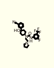 N#Cc1cccc([C@]2(O)CC[C@H](N(CCN3CCCC3)C(=O)Nc3cc(F)cc(C(F)(F)F)c3)CC2)c1